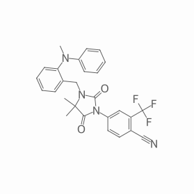 CN(c1ccccc1)c1ccccc1CN1C(=O)N(c2ccc(C#N)c(C(F)(F)F)c2)C(=O)C1(C)C